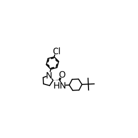 CC(C)(C)C1CCC(NC(=O)[C@@H]2CCCN2c2ccc(Cl)cc2)CC1